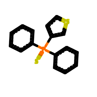 S=P(c1ccccc1)(c1ccccc1)c1ccsc1